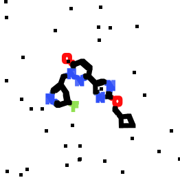 O=c1ccc(-c2cnc(OCC3CCC3)nc2)nn1Cc1cncc(F)c1